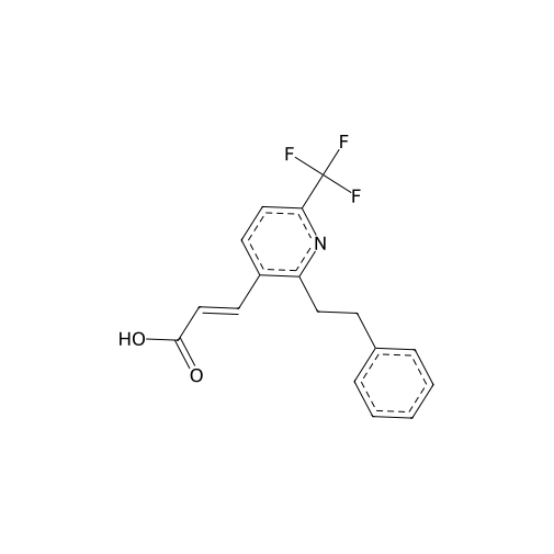 O=C(O)C=Cc1ccc(C(F)(F)F)nc1CCc1ccccc1